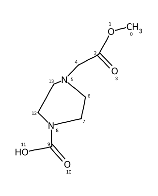 COC(=O)CN1CCN(C(=O)O)CC1